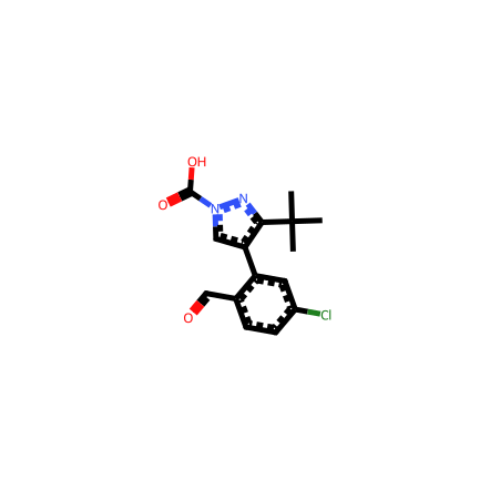 CC(C)(C)c1nn(C(=O)O)cc1-c1cc(Cl)ccc1C=O